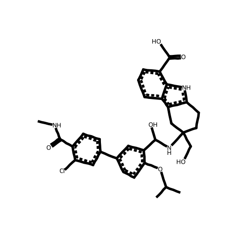 CNC(=O)c1ccc(-c2ccc(OC(C)C)c(C(O)NC3(CO)CCc4[nH]c5c(C(=O)O)cccc5c4C3)c2)cc1Cl